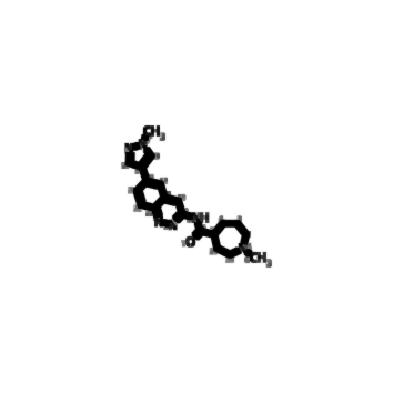 CN1CCCC(C(=O)Nc2cc3cc(-c4cnn(C)c4)ccc3nn2)CC1